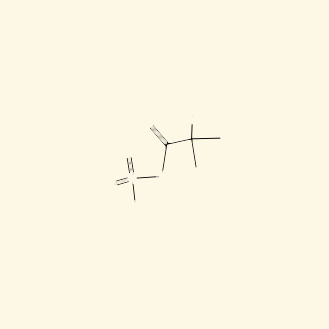 C=C(OS(=O)(=O)C(F)(F)F)C(C)(C)C(C)=O